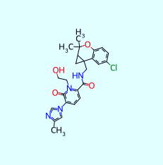 Cc1cn(-c2ccc(C(=O)NCC34CC3C(C)(C)Oc3ccc(Cl)cc34)n(CCO)c2=O)cn1